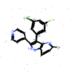 N#Cc1ccc2[nH]c(-c3ccncc3)c(-c3cc(F)cc(Cl)c3)c2n1